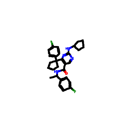 CC(NC(=O)c1cnc(NC2CCCC2)nc1C1(c2ccc(F)cc2)CCCC1)c1ccc(F)cc1